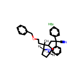 Br.CC1(CCOCc2ccccc2)C(CC(C#N)(c2ccccc2)c2ccccc2)C[C@@H]2CC[C@H]1N2